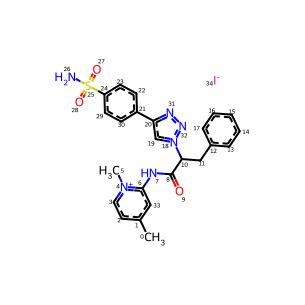 Cc1cc[n+](C)c(NC(=O)C(Cc2ccccc2)n2cc(-c3ccc(S(N)(=O)=O)cc3)nn2)c1.[I-]